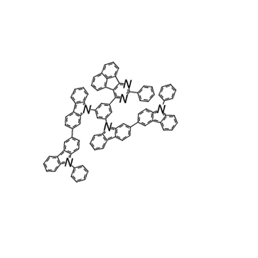 c1ccc(-c2nc(-c3cc(-n4c5ccccc5c5ccc(-c6ccc7c(c6)c6ccccc6n7-c6ccccc6)cc54)cc(-n4c5ccccc5c5ccc(-c6ccc7c(c6)c6ccccc6n7-c6ccccc6)cc54)c3)c3c(n2)-c2cccc4cccc-3c24)cc1